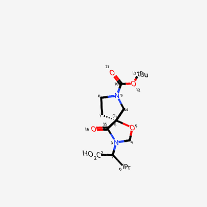 CC(C)C(C(=O)O)N1CO[C@@]2(CCN(C(=O)OC(C)(C)C)C2)C1=O